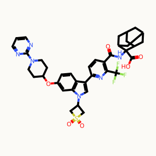 O=C(NC1(C(=O)O)C2CC3CC(C2)CC1C3)c1ccc(-c2cn(C3CS(=O)(=O)C3)c3cc(OC4CCN(c5ncccn5)CC4)ccc23)nc1C(F)(F)F